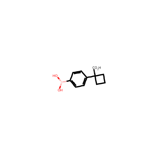 O=C(O)C1(c2ccc(B(O)O)cc2)CCC1